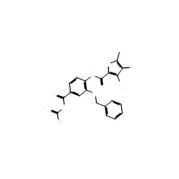 Cc1[nH]c(C(=O)Nc2ccc(C(=N)OC(N)=O)cc2OCc2ccccc2)c(Cl)c1Cl